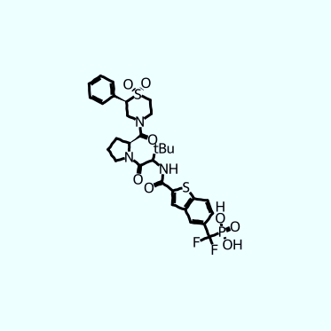 CC(C)(C)C(NC(=O)c1cc2cc(C(F)(F)P(=O)(O)O)ccc2s1)C(=O)N1CCC[C@H]1C(=O)N1CCS(=O)(=O)[C@H](c2ccccc2)C1